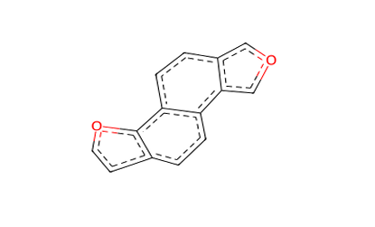 c1cc2ccc3c4cocc4ccc3c2o1